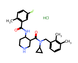 Cc1ccc(F)cc1C(=O)NC1CCNCC1C(=O)N(Cc1cccc(C)c1C)C1CC1.Cl